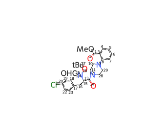 COC(=O)c1ccccc1N1CCN(C(=O)[C@@H](Cc2ccc(Cl)cc2)N(C=O)OC(C)(C)C)CC1